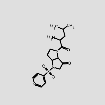 CC(C)CC(N)C(=O)N1CCC2C1C(=O)CN2S(=O)(=O)c1ccncc1